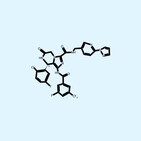 O=C1Cn2c(C(=O)NCc3ccc(-n4cccn4)nc3)nc(NC(=O)c3cc(F)cc(C(F)(F)F)c3)c2[C@H](c2cc(F)ccc2Cl)N1